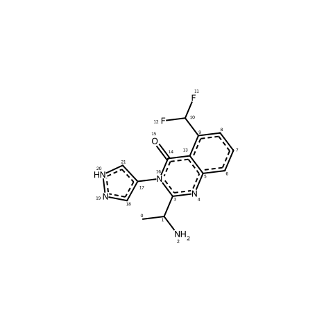 CC(N)c1nc2cccc(C(F)F)c2c(=O)n1-c1cn[nH]c1